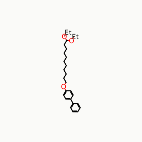 CCOC(CCCCCCCCCCOc1ccc(-c2ccccc2)cc1)OCC